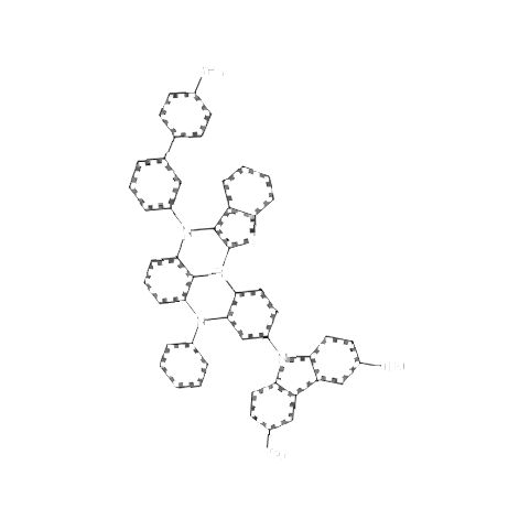 CC(C)(C)c1ccc(-c2cccc(N3c4cccc5c4B(c4ccc(-n6c7ccc(C(C)(C)C)cc7c7cc(C(C)(C)C)ccc76)cc4N5c4ccccc4)c4sc5ccccc5c43)c2)cc1